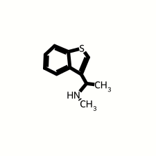 CNC(C)c1csc2ccccc12